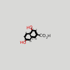 O=C(O)c1cc(O)c2ccc(O)cc2c1